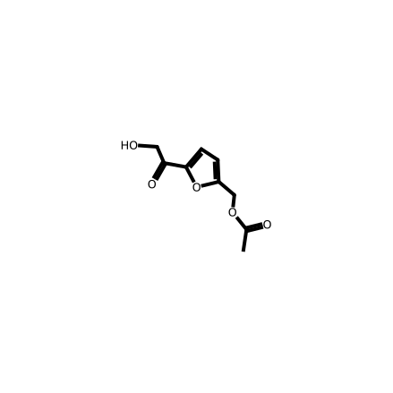 CC(=O)OCc1ccc(C(=O)CO)o1